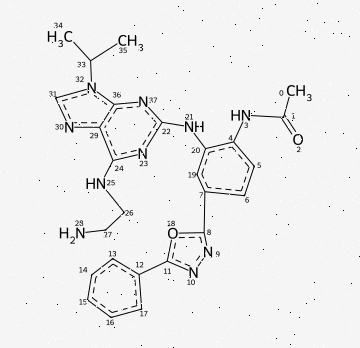 CC(=O)Nc1ccc(-c2nnc(-c3ccccc3)o2)cc1Nc1nc(NCCN)c2ncn(C(C)C)c2n1